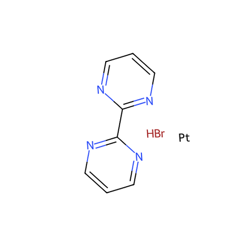 Br.[Pt].c1cnc(-c2ncccn2)nc1